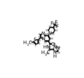 Cc1ccc(-c2cnc3c(N4CCC(C(F)(F)F)CC4)cc(C(=O)N[C@@H](C)c4nnc[nH]4)cn23)s1